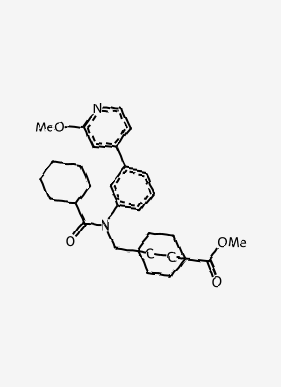 COC(=O)C12CCC(CN(C(=O)C3CCCCC3)c3cccc(-c4ccnc(OC)c4)c3)(CC1)CC2